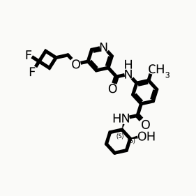 Cc1ccc(C(=O)N[C@H]2CCCC[C@@H]2O)cc1NC(=O)c1cncc(OCC2CC(F)(F)C2)c1